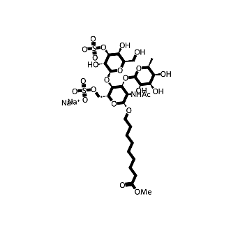 COC(=O)CCCCCCCCO[C@@H]1O[C@H](COS(=O)(=O)[O-])[C@@H](O[C@@H]2O[C@H](CO)[C@H](O)[C@H](OS(=O)(=O)[O-])[C@H]2O)[C@H](OC2O[C@@H](C)[C@@H](O)[C@@H](O)[C@@H]2O)[C@H]1NC(C)=O.[Na+].[Na+]